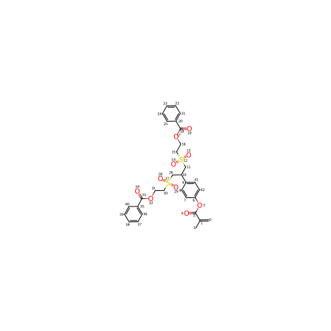 C=C(C)C(=O)Oc1ccc(C(CS(=O)(=O)CCOC(=O)c2ccccc2)CS(=O)(=O)CCOC(=O)c2ccccc2)cc1